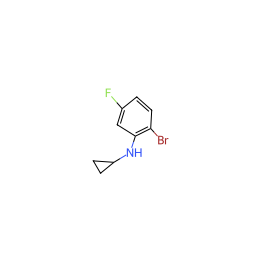 Fc1ccc(Br)c(NC2CC2)c1